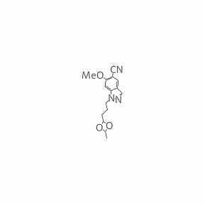 COc1cc2c(cnn2CCCC2OC(C)O2)cc1C#N